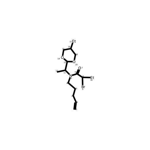 C=CCCCN(C(=O)C(Br)CC)C(C)C1OCC(CC)CO1